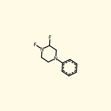 FC1CN(c2ccccc2)CCN1F